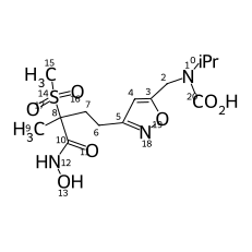 CC(C)N(Cc1cc(CCC(C)(C(=O)NO)S(C)(=O)=O)no1)C(=O)O